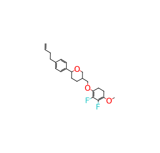 C=CCCc1ccc(C2CCC(COC3=C(F)C(F)=C(OC)CC3)CO2)cc1